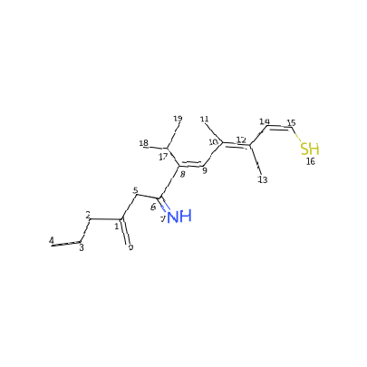 C=C(CCC)CC(=N)/C(=C/C(C)=C(C)/C=C\S)C(C)C